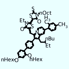 CCCCCCCCN1C(=O)/C(=c2\s/c(=C\c3c(-c4ccc(-c5ccc(OCCCCCC)cc5OCCCCCC)cc4)c(CC(CC)CCCC)c4cc(-c5ccc(C)cc5C)ccn34)c(=O)n2CC)SC1=S